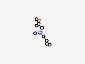 c1ccc(-c2cc(-c3ccc(-c4ccc5c(ccc6ccccc65)c4)cc3)nc(-c3cccc(-c4nc5oc6ccccc6c5c5ccccc45)c3)n2)cc1